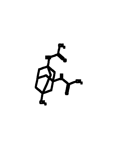 CC(=O)NC12CC3CC(C)(C1)CC(NC(C)=O)(C3)C2